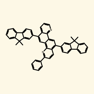 CC1(C)c2ccccc2-c2ccc(-c3cc4c(cc(-c5ccc6c(c5)C(C)(C)c5ccccc5-6)c5ccc(-c6ccccc6)nc54)c4ncccc34)cc21